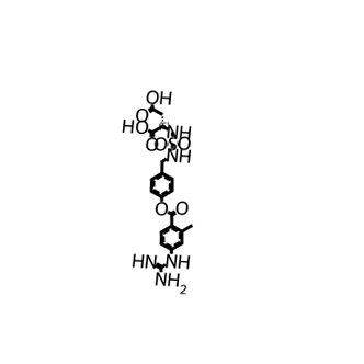 Cc1cc(NC(=N)N)ccc1C(=O)Oc1ccc(CNS(=O)(=O)N[C@@H](CC(=O)O)C(=O)O)cc1